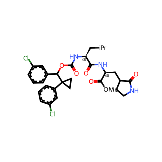 COC(=O)[C@H](CC1CCNC1=O)NC(=O)[C@H](CC(C)C)NC(=O)OC(c1cccc(Cl)c1)C1(c2cccc(Cl)c2)CC1